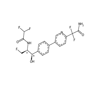 NC(=O)C(F)(F)c1ccc(-c2ccc([C@@H](O)[C@@H](CF)NC(=O)C(F)F)cc2)cn1